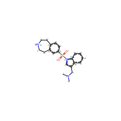 CN(C)Cc1cn(S(=O)(=O)c2ccc3c(c2)CCNCC3)c2ccccc12